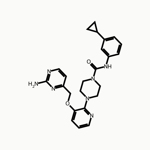 Nc1nccc(COc2cccnc2N2CCN(C(=O)Nc3cccc(C4CC4)c3)CC2)n1